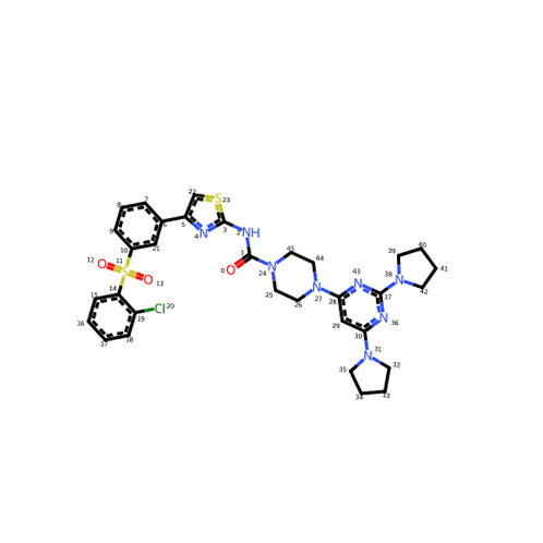 O=C(Nc1nc(-c2cccc(S(=O)(=O)c3ccccc3Cl)c2)cs1)N1CCN(c2cc(N3CCCC3)nc(N3CCCC3)n2)CC1